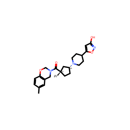 Cc1ccc2c(c1)CN(C(=O)[C@@]1(C(C)C)CC[C@@H](N3CCC(c4cc(O)no4)CC3)C1)CO2